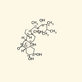 CC(C)[C@H](C)[C@@H](O)[C@H](O)[C@@H](C)[C@H]1CC[C@H]2[C@@H]3CC(=O)[C@H]4C[C@H](O)[C@H](O)C[C@]4(C)[C@H]3CC[C@]12C